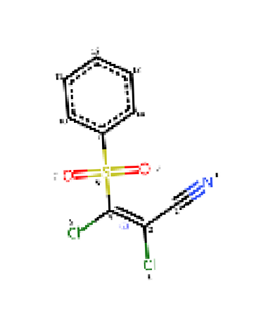 N#C/C(Cl)=C(/Cl)S(=O)(=O)c1ccccc1